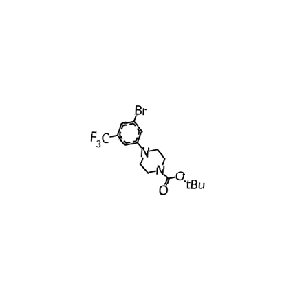 CC(C)(C)OC(=O)N1CCN(c2cc(Br)cc(C(F)(F)F)c2)CC1